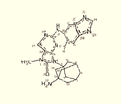 Cn1c(=O)n(C23CC4CC(CC(N)(C4)C2)C3)c2nc(Nc3cn4ncnc4cc3F)ncc21